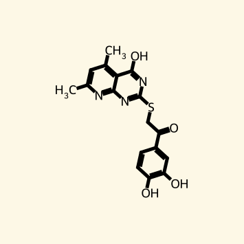 Cc1cc(C)c2c(O)nc(SCC(=O)c3ccc(O)c(O)c3)nc2n1